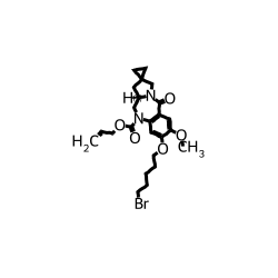 C=CCOC(=O)N1C[C@@H]2CC3(CC3)CN2C(=O)c2cc(OC)c(OCCCCCBr)cc21